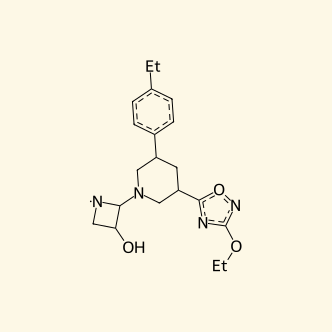 CCOc1noc(C2CC(c3ccc(CC)cc3)CN(C3[N]CC3O)C2)n1